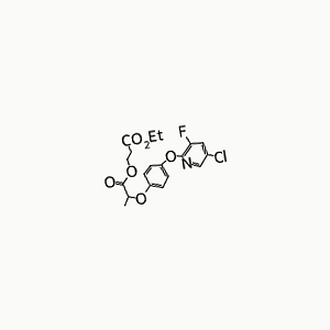 CCOC(=O)CCOC(=O)C(C)Oc1ccc(Oc2ncc(Cl)cc2F)cc1